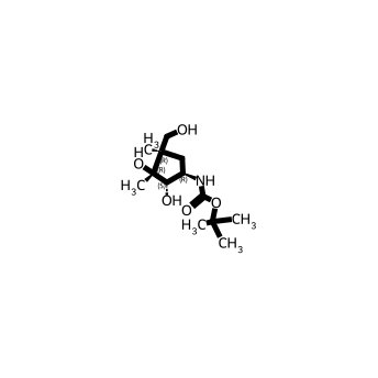 CC(C)(C)OC(=O)N[C@@H]1C[C@](C)(CO)[C@@](C)(O)[C@H]1O